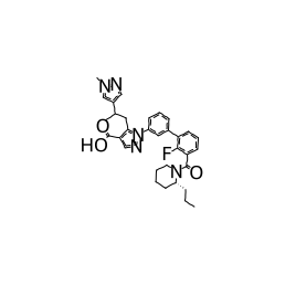 CCC[C@@H]1CCCCN1C(=O)c1cccc(-c2cccc(-n3ncc(C(=O)O)c3CC(C)c3cnn(C)c3)c2)c1F